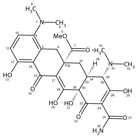 COC(=O)[C@@]12Cc3c(N(C)C)ccc(O)c3C(=O)C1=C(O)[C@]1(O)C(=O)C(C(N)=O)=C(O)[C@@H](N(C)C)[C@@H]1C2